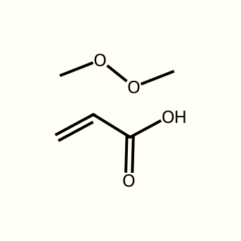 C=CC(=O)O.COOC